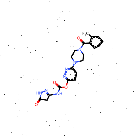 O=C1CC(NC(=O)Oc2ccc(N3CCN(C(=O)c4ccccc4C(F)(F)F)CC3)nn2)=NN1